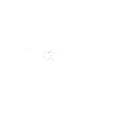 C[Si](C)(C)CCOCn1cc(CO)c(C(F)(F)F)n1